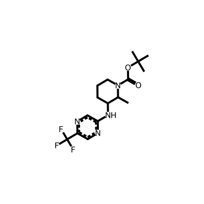 CC1C(Nc2cnc(C(F)(F)F)cn2)CCCN1C(=O)OC(C)(C)C